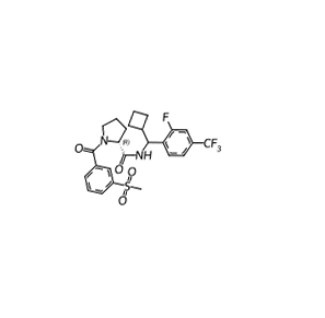 CS(=O)(=O)c1cccc(C(=O)N2CCC[C@@H]2C(=O)NC(c2ccc(C(F)(F)F)cc2F)C2CCC2)c1